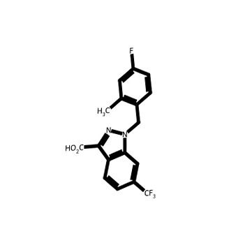 Cc1cc(F)ccc1Cn1nc(C(=O)O)c2ccc(C(F)(F)F)cc21